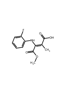 COC(=O)C(Nc1ccccc1F)=C(C)C(=O)O